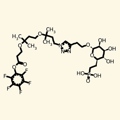 CC(C)(CCOC(C)(C)CCn1cc(CCO[C@H]2O[C@H](CCP(=O)(O)O)[C@@H](O)[C@H](O)[C@@H]2O)nn1)OCCC(=O)Oc1c(F)c(F)c(F)c(F)c1F